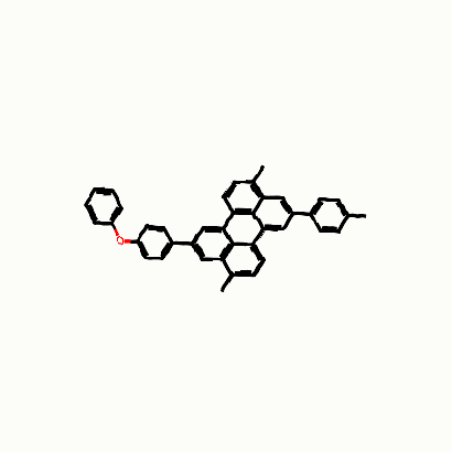 Cc1ccc(-c2cc3c(C)ccc4c5cc(-c6ccc(Oc7ccccc7)cc6)cc6c(C)ccc(c(c2)c34)c65)cc1